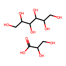 O=C(O)C(O)CO.OCC(O)C(O)C(O)C(O)CO